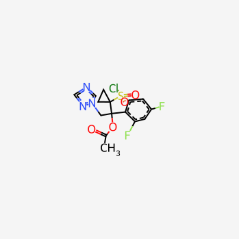 CC(=O)OC(Cn1cncn1)(c1ccc(F)cc1F)C1(S(=O)(=O)Cl)CC1